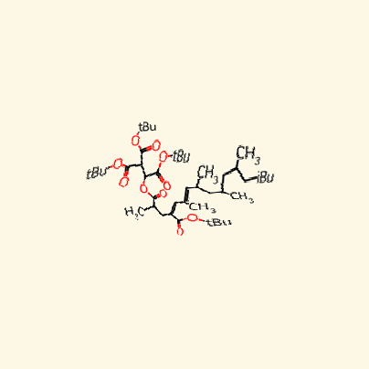 CCC(C)CC(C)CC(C)CC(C)/C=C(C)/C=C(/CC(C)C(=O)OC(C(=O)OC(C)(C)C)C(C(=O)OC(C)(C)C)C(=O)OC(C)(C)C)C(=O)OC(C)(C)C